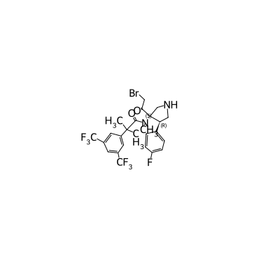 CN(C(=O)C(C)(C)c1cc(C(F)(F)F)cc(C(F)(F)F)c1)[C@]1(C(=O)CBr)CNC[C@H]1c1ccc(F)cc1